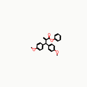 C=C(C(=O)Oc1ccccc1)C(c1ccc(OC)cc1)c1ccc(OC)cc1